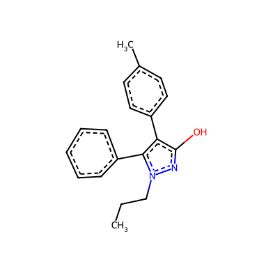 CCCn1nc(O)c(-c2ccc(C)cc2)c1-c1ccccc1